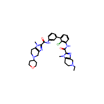 CCN1CCc2c(nc(C(=O)Nc3cccc(-c4cccc(NC(=O)c5nc6c(n5C)CCN(C5CCOCC5)C6)c4)c3Cl)n2C)C1